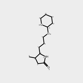 CC1CC(=O)NC1CCCOC1CCCCO1